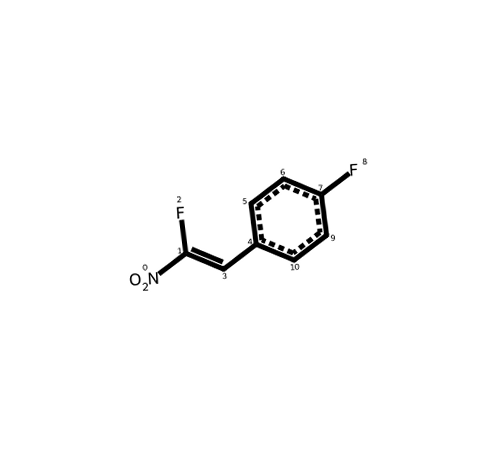 O=[N+]([O-])C(F)=Cc1ccc(F)cc1